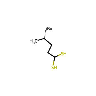 CCC(C)[C@@H](C)CCC(S)S